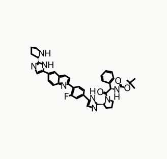 CC(C)(C)OC(=O)N[C@@H](C(=O)N1CCC[C@H]1c1ncc(-c2ccc(-c3ccc4cc(-c5cnc([C@@H]6CCCN6)[nH]5)ccc4n3)c(F)c2)[nH]1)c1ccccc1